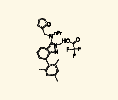 CCCN(Cc1ccco1)c1c2cccc(-c3c(C)cc(C)cc3C)c2nn1C.O=C(O)C(F)(F)F